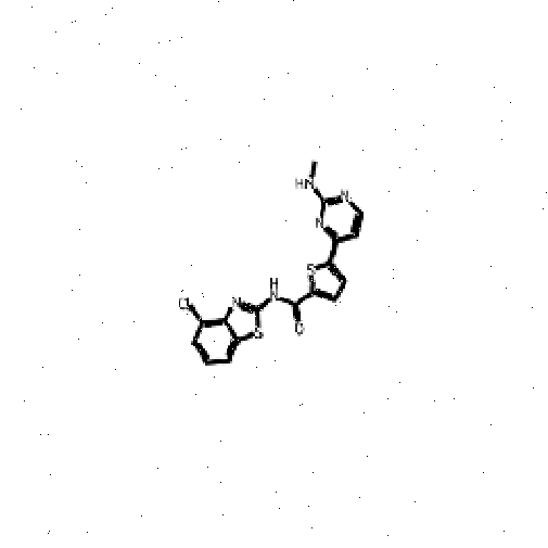 CNc1nccc(-c2ccc(C(=O)Nc3nc4c(Cl)cccc4s3)s2)n1